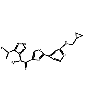 CN(C(=O)c1coc(-c2ccnc(NCC3CC3)c2)n1)c1c[nH]nc1C(F)F